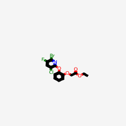 CCOC(=O)COc1ccccc1Oc1nc(Br)c(F)cc1Cl